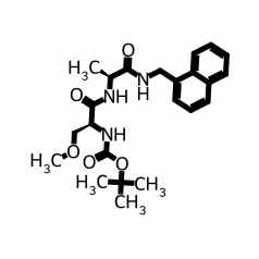 COC[C@H](NC(=O)OC(C)(C)C)C(=O)N[C@@H](C)C(=O)NCc1cccc2ccccc12